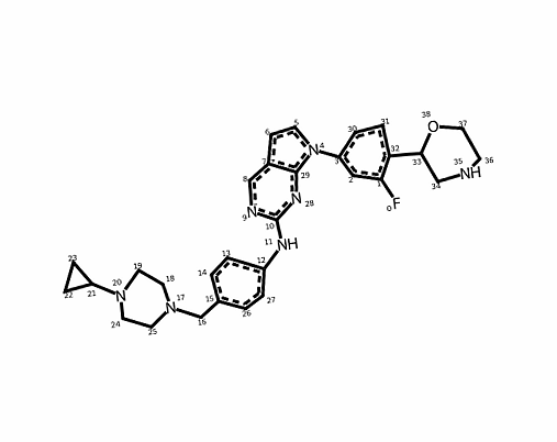 Fc1cc(-n2ccc3cnc(Nc4ccc(CN5CCN(C6CC6)CC5)cc4)nc32)ccc1C1CNCCO1